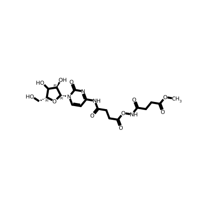 COC(=O)CCC(=O)NOC(=O)CCC(=O)Nc1ccn([C@@H]2O[C@H](CO)C(O)[C@H]2O)c(=O)n1